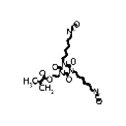 C=C(C)C(=O)OCCn1c(=O)n(CCCCCCN=C=O)c(=O)n(CCCCCCN=C=O)c1=O